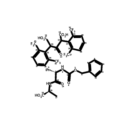 CC(C)[C@H](NC(=O)OCc1ccccc1)C(=O)N[C@@H](C)C(=O)O.O=C(O)C(C(=O)C(C(=O)O)c1c(C(F)(F)F)cccc1C(F)(F)F)c1c(C(F)(F)F)cccc1C(F)(F)F